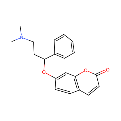 CN(C)CCC(Oc1ccc2ccc(=O)oc2c1)c1ccccc1